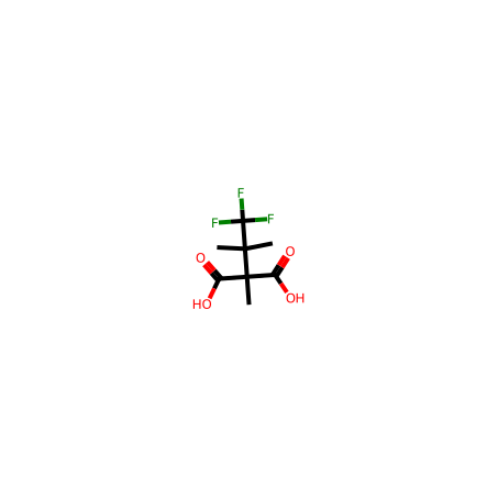 CC(C(=O)O)(C(=O)O)C(C)(C)C(F)(F)F